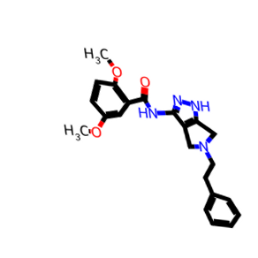 COc1ccc(OC)c(C(=O)Nc2n[nH]c3c2CN(CCc2ccccc2)C3)c1